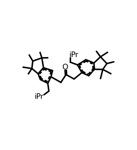 CC(C)Cc1cc2c(cc1CC(=O)Cc1cc3c(cc1CC(C)C)C(C)(C)C(C)C3(C)C)C(C)(C)C(C)C2(C)C